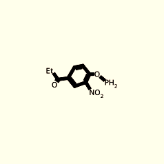 CCC(=O)c1ccc(OP)c([N+](=O)[O-])c1